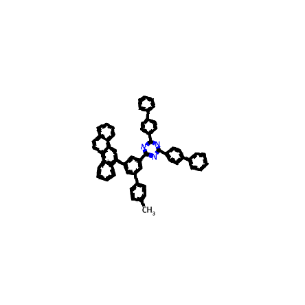 Cc1ccc(-c2cc(-c3nc(-c4ccc(-c5ccccc5)cc4)nc(-c4ccc(-c5ccccc5)cc4)n3)cc(-c3cc4c5ccccc5ccc4c4ccccc34)c2)cc1